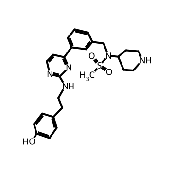 CS(=O)(=O)N(Cc1cccc(-c2ccnc(NCCc3ccc(O)cc3)n2)c1)C1CCNCC1